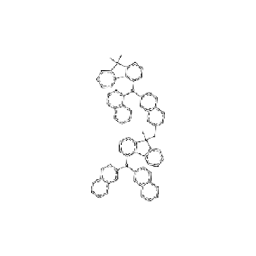 CC1(C)c2ccccc2-c2c(N(c3ccc4ccc(CC5(C)c6ccccc6-c6c(N(c7ccc8ccccc8c7)c7ccc8ccccc8c7)cccc65)cc4c3)c3cccc4ccccc34)cccc21